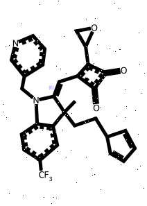 CC1(CCC2C=CC=C2)/C(=C\c2c(C3CO3)c(=O)c2=O)N(Cc2cccnc2)c2ccc(C(F)(F)F)cc21